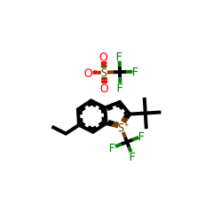 CCc1ccc2cc(C(C)(C)C)[s+](C(F)(F)F)c2c1.O=S(=O)([O-])C(F)(F)F